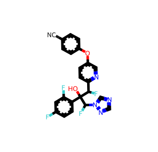 N#Cc1ccc(Oc2ccc(C(F)C(O)(c3ccc(F)cc3F)C(F)n3cncn3)nc2)cc1